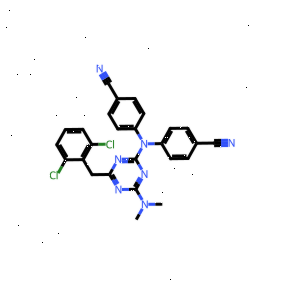 CN(C)c1nc(Cc2c(Cl)cccc2Cl)nc(N(c2ccc(C#N)cc2)c2ccc(C#N)cc2)n1